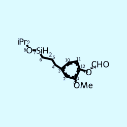 COc1cc(CCC[SiH2]OC(C)C)ccc1OC=O